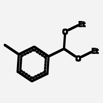 CCOC(OCC)c1cccc(C)c1